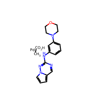 CC(=O)O.[Pd].c1cc(Nc2ncc3cccn3n2)cc(N2CCOCC2)c1